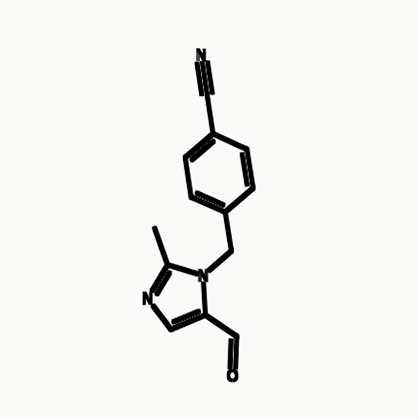 Cc1ncc(C=O)n1Cc1ccc(C#N)cc1